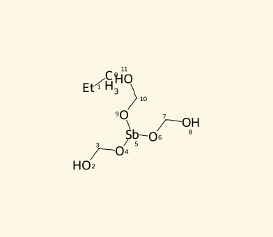 CCC.OC[O][Sb]([O]CO)[O]CO